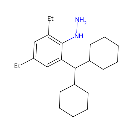 CCc1cc(CC)c(NN)c(C(C2CCCCC2)C2CCCCC2)c1